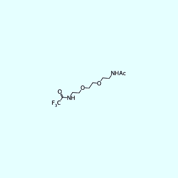 CC(=O)NCCOCCOCCNC(=O)C(F)(F)F